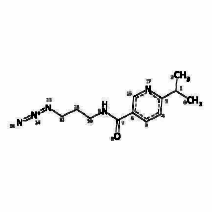 CC(C)c1ccc(C(=O)NCCCN=[N+]=[N-])cn1